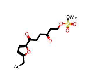 COS(=O)(=O)OCCC(=O)CCC(=O)c1ccc(CC(C)=O)o1